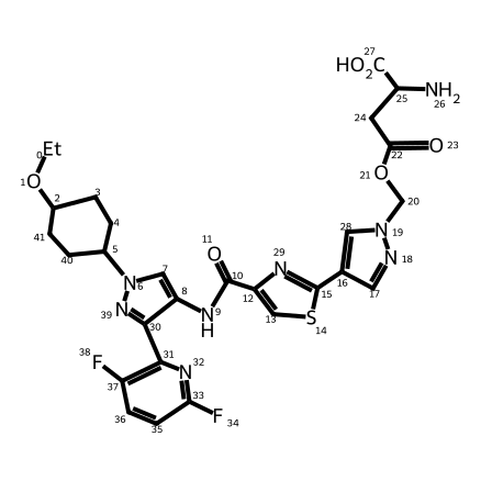 CCOC1CCC(n2cc(NC(=O)c3csc(-c4cnn(COC(=O)CC(N)C(=O)O)c4)n3)c(-c3nc(F)ccc3F)n2)CC1